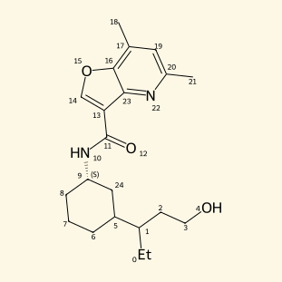 CCC(CCO)C1CCC[C@H](NC(=O)c2coc3c(C)cc(C)nc23)C1